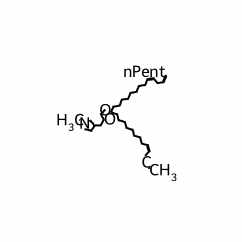 CC=C=C/C=C\CCCCCCCCC1(CCCCCCCC/C=C\C/C=C\CCCCC)OCC(CC2CCN(C)C2)O1